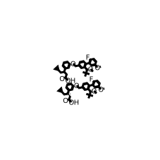 COc1ccc(F)c(-c2ccc(COc3cccc(C(CC(=O)O)CC4CC4)c3)cc2[C@H](OC)C(C)(C)C)c1.COc1ccc(F)c(-c2ccc(COc3cccc([C@@H](CC(=O)O)CC4CC4)c3)cc2[C@@H](OC)C(C)(C)C)c1